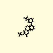 CN(CC1COCc2c(-c3ccnc(C(F)(F)F)c3)cccc21)C(=O)OC(C)(C)C